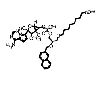 CCCCCCCCCCCCCCCCCCOC[C@H](COP(=O)(O)OC1[C@H]2O[C@@](C#N)(c3ccc4c(N)ncnn34)[C@H](O)[C@@]12O)OCc1ccc2ccccc2c1